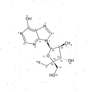 C[C@@H]1[C@H](n2cnc3c(O)ncnc32)O[C@@](CO)(CF)[C@H]1O